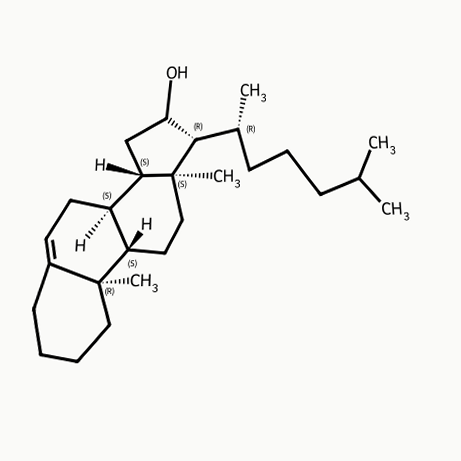 CC(C)CCC[C@@H](C)[C@H]1C(O)C[C@H]2[C@@H]3CC=C4CCCC[C@]4(C)[C@H]3CC[C@]12C